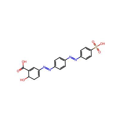 O=C(O)C1=CC(/N=N/c2ccc(/N=N/c3ccc(S(=O)(=O)O)cc3)cc2)=CCC1O